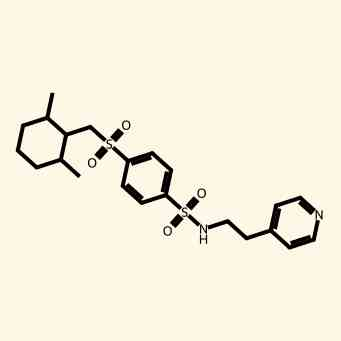 CC1CCCC(C)C1CS(=O)(=O)c1ccc(S(=O)(=O)NCCc2ccncc2)cc1